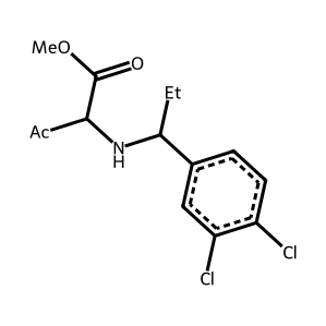 CCC(NC(C(C)=O)C(=O)OC)c1ccc(Cl)c(Cl)c1